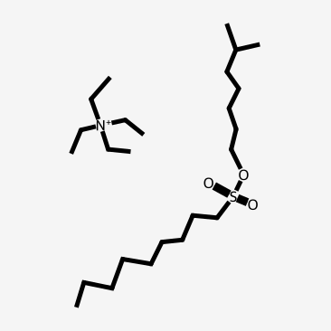 CCCCCCCCCS(=O)(=O)OCCCCCC(C)C.CC[N+](CC)(CC)CC